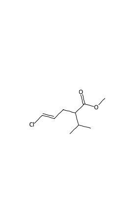 COC(=O)C(CC=CCl)C(C)C